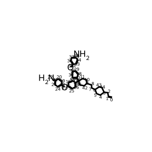 C=CCC1CCC(CCC2CCC(c3ccc(Oc4ccc(N)cc4)cc3)(c3ccc(Oc4ccc(N)cc4)cc3)CC2)CC1